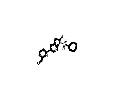 O=Cc1cccc(-c2cnc3c(c2)cc(I)n3S(=O)(=O)c2ccccc2)n1